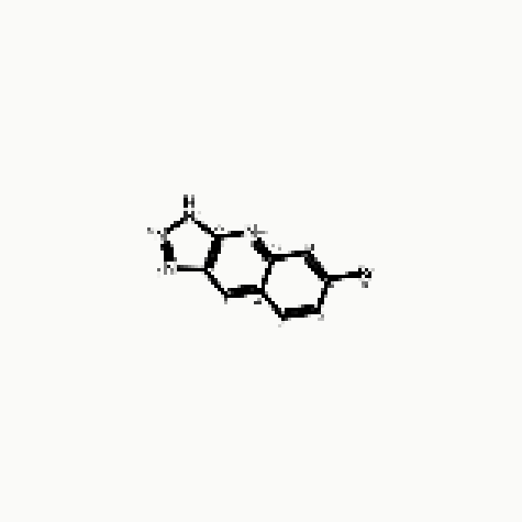 Brc1ccc2cc3nn[nH]c3nc2c1